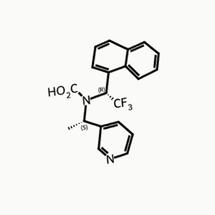 C[C@@H](c1cccnc1)N(C(=O)O)[C@H](c1cccc2ccccc12)C(F)(F)F